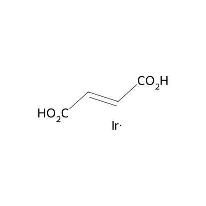 O=C(O)C=CC(=O)O.[Ir]